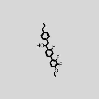 CCCc1ccc(CC(O)c2ccc(-c3ccc(OCC)c(F)c3F)cc2F)cc1